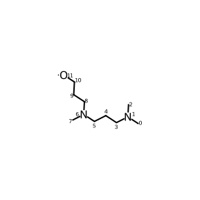 CN(C)CCCN(C)CCC[O]